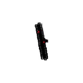 ClC(Cl)(Cl)C(Cl)(Cl)C(Cl)(Cl)C(Cl)(Cl)C(Cl)(Cl)C(Cl)(Cl)C(Cl)(Cl)C(Cl)(Cl)C(Cl)(Cl)C(Cl)(Cl)C(Cl)(Cl)C(Cl)(Cl)C(Cl)(Cl)C(Cl)(Cl)C(Cl)(Cl)C(Cl)(Cl)C(Cl)(Cl)C(Cl)(Cl)C(Cl)(Cl)C(Cl)(Cl)C(Cl)(Cl)C(Cl)(Cl)C(Cl)(Cl)C(Cl)(Cl)Cl.O=[SH](=O)O